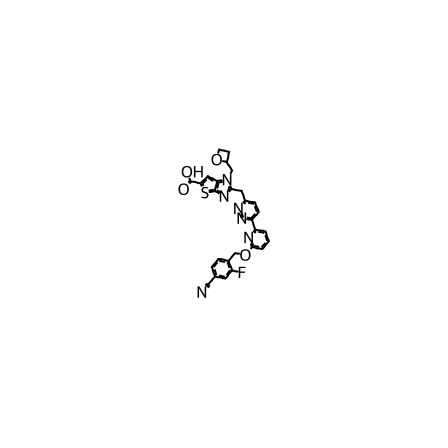 N#Cc1ccc(COc2cccc(-c3ccc(Cc4nc5sc(C(=O)O)cc5n4CC4CCO4)nn3)n2)c(F)c1